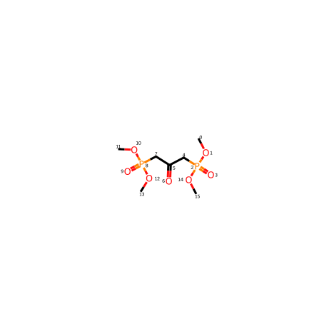 COP(=O)(CC(=O)CP(=O)(OC)OC)OC